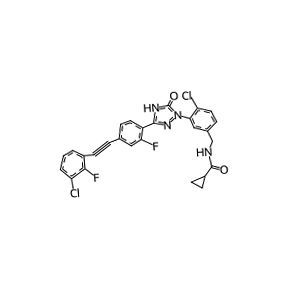 O=C(NCc1ccc(Cl)c(-n2nc(-c3ccc(C#Cc4cccc(Cl)c4F)cc3F)[nH]c2=O)c1)C1CC1